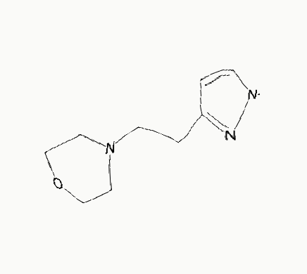 C1=CC(CCN2CCOCC2)=N[N]1